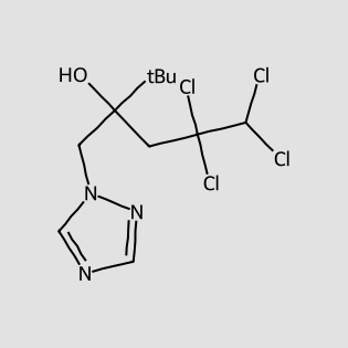 CC(C)(C)C(O)(Cn1cncn1)CC(Cl)(Cl)C(Cl)Cl